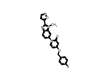 Cn1c(-c2ccno2)nc2ccc(-n3ccc(OCc4ccc(F)cc4)cc3=O)cc21